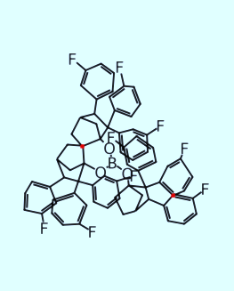 Fc1cccc(C2C3CCC(OB(OC45CCC(C4)C(c4cccc(F)c4)C5(c4cccc(F)c4)c4cccc(F)c4)OC45CCC(C4)C(c4cccc(F)c4)C5(c4cccc(F)c4)c4cccc(F)c4)(C3)C2(c2cccc(F)c2)c2cccc(F)c2)c1